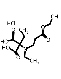 CCOC(=O)CCN(CC)C(CC)(C(=O)O)C(=O)O.Cl